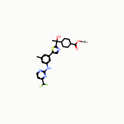 CCCCOC(=O)C1CCC(C(C)(O)c2ncc(-c3cc(C)cc(Nc4nccc(C(F)F)n4)c3)s2)CC1